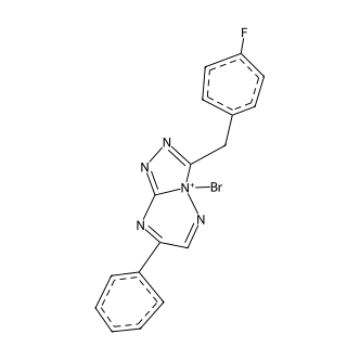 Fc1ccc(CC2=NN=C3N=C(c4ccccc4)C=N[N+]23Br)cc1